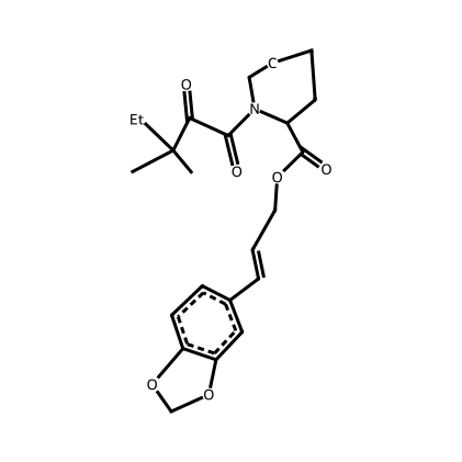 CCC(C)(C)C(=O)C(=O)N1CCCCC1C(=O)OC/C=C/c1ccc2c(c1)OCO2